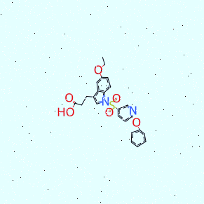 CCOc1ccc2c(c1)c(CCC(=O)O)cn2S(=O)(=O)c1ccc(Oc2ccccc2)nc1